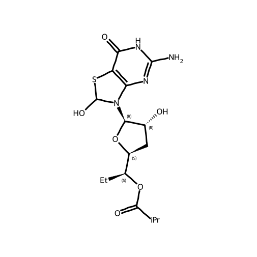 CC[C@H](OC(=O)C(C)C)[C@@H]1C[C@@H](O)[C@H](N2c3nc(N)[nH]c(=O)c3SC2O)O1